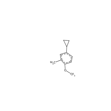 [CH2]c1cc(C2CC2)ccc1OC(F)(F)F